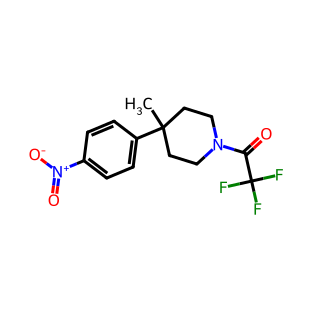 CC1(c2ccc([N+](=O)[O-])cc2)CCN(C(=O)C(F)(F)F)CC1